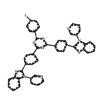 Fc1ccc(-c2nc(-c3ccc(-c4nc5ccccc5n4-c4cccnc4)cc3)nc(-c3ccc(-c4nc5ccccc5n4-c4cccnc4)cc3)n2)cc1